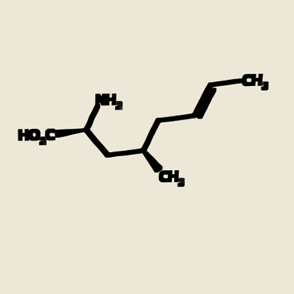 CC=CC[C@@H](C)C[C@H](N)C(=O)O